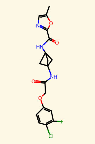 Cc1cnc(C(=O)NC23CC(NC(=O)COc4ccc(Cl)c(F)c4)(C2)C3)o1